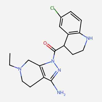 CCN1CCc2c(N)nn(C(=O)C3CCNc4ccc(Cl)cc43)c2C1